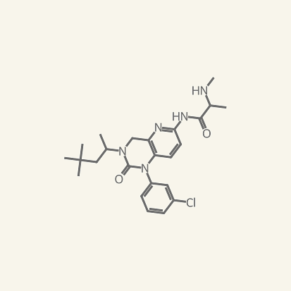 CNC(C)C(=O)Nc1ccc2c(n1)CN(C(C)CC(C)(C)C)C(=O)N2c1cccc(Cl)c1